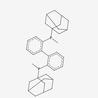 CP(c1ccccc1-c1ccccc1P(C)C12CC3CC(CC(C3)C1)C2)C12CC3CC(CC(C3)C1)C2